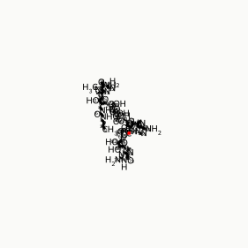 CCCCNC(=O)NC[C@H]1[C@@H](O)[C@H](n2c[n+](C)c3c(=O)[nH]c(N)nc32)O[C@@H]1COP(=O)(O)OP(=O)(O)OP(=O)(O)OC[C@H]1O[C@@H](n2cnc3c(N)ncnc32)[C@H](OC)[C@@H]1OP(=O)(O)OC[C@H]1O[C@@H](n2cnc3c(=O)[nH]c(N)nc32)[C@H](O)[C@@H]1O